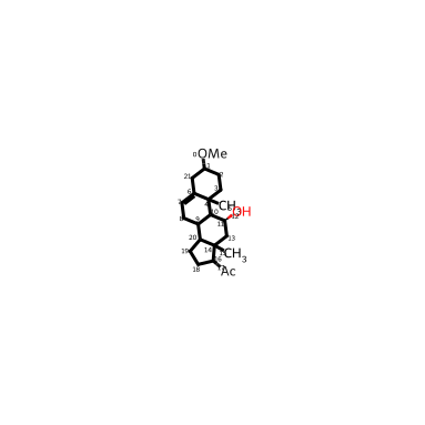 COC1CCC2(C)C(=CCC3C2[C@@H](O)CC2(C)C(C(C)=O)CCC32)C1